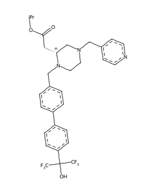 CC(C)OC(=O)C[C@@H]1CN(Cc2ccncc2)CCN1Cc1ccc(-c2ccc(C(O)(C(F)(F)F)C(F)(F)F)cc2)cc1